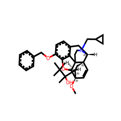 CO[C@]12C=C[C@@]3(C[C@@H]1C(C)(O)C(C)(C)C)[C@H]1Cc4ccc(OCc5ccccc5)c5c4C3(CCN1CC1CC1)[C@H]2O5